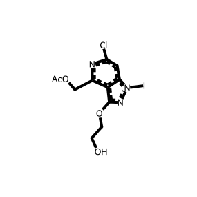 CC(=O)OCc1nc(Cl)cc2c1c(OCCO)nn2I